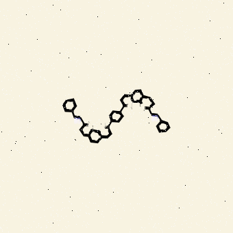 C(=C\c1ccc2ccc3ccc(-c4ccc(-c5ccc6ccc7ccc(/C=C/c8ccccc8)nc7c6n5)cc4)nc3c2n1)/c1ccccc1